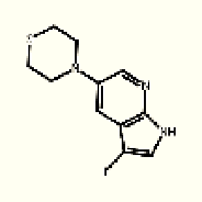 Ic1c[nH]c2ncc(N3CCSCC3)cc12